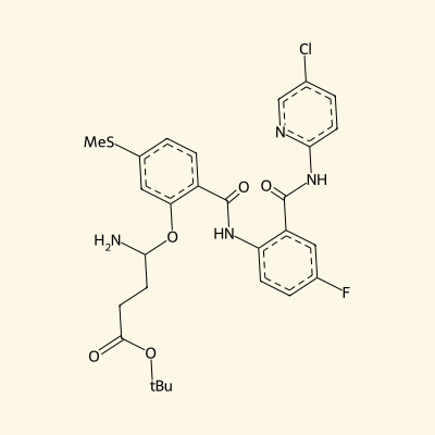 CSc1ccc(C(=O)Nc2ccc(F)cc2C(=O)Nc2ccc(Cl)cn2)c(OC(N)CCC(=O)OC(C)(C)C)c1